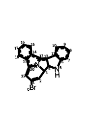 BrC1=CC2C3Nc4ccccc4C3=c3c4ccccc4c(n32)=C1